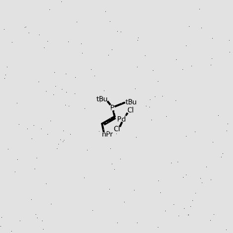 CCCC=CP(C(C)(C)C)C(C)(C)C.[Cl][Pd][Cl]